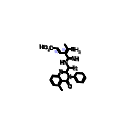 CCC(NC(=N)C(/C=C/C(=O)O)=C(/C)N)c1nc2cccc(C)c2c(=O)n1-c1ccccc1